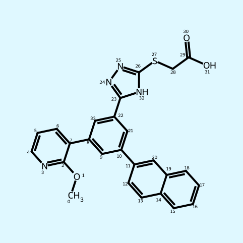 COc1ncccc1-c1cc(-c2ccc3ccccc3c2)cc(-c2nnc(SCC(=O)O)[nH]2)c1